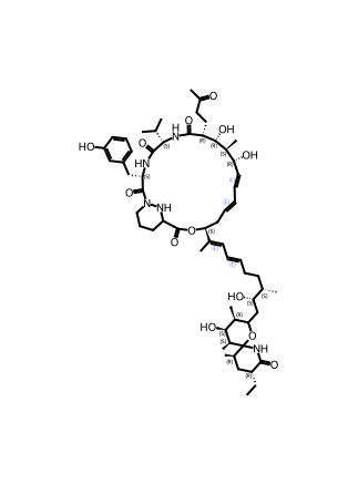 CC[C@@H]1C[C@@H](C)C2(NC1=O)OC(C[C@H](O)[C@@H](C)CC/C=C/C=C(\C)[C@@H]1C/C=C/C=C/[C@@H](O)[C@H](C)[C@@H](O)[C@@H](CCC(C)=O)C(=O)N[C@@H](C(C)C)C(=O)N[C@@H](Cc3cccc(O)c3)C(=O)N3CCCC(N3)C(=O)O1)[C@H](C)[C@H](O)[C@@H]2C